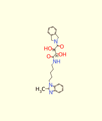 Cc1nc2ccccc2n1CCCCCNC(=O)[C@H](O)[C@@H](O)C(=O)N1Cc2ccccc2C1